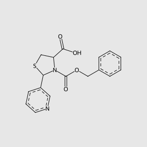 O=C(O)C1CSC(c2cccnc2)N1C(=O)OCc1ccccc1